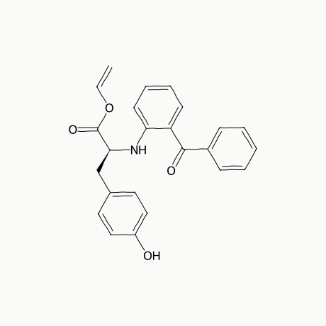 C=COC(=O)[C@H](Cc1ccc(O)cc1)Nc1ccccc1C(=O)c1ccccc1